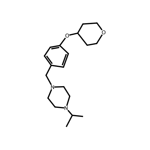 CC(C)N1CCN(Cc2ccc(OC3CCOCC3)cc2)CC1